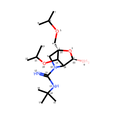 B[C@@H]1O[C@]2(COC(C)C)CN(C(=N)NC(C)(C)C)C1C2OC(C)C